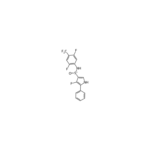 [O-][S+](Nc1cc(F)c(C(F)(F)F)cc1F)c1c[nH]c(-c2ccccc2)c1F